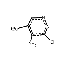 CC(C)(C)c1cnnc(Cl)c1N